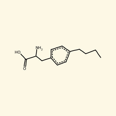 CCCCc1ccc(CC(N)C(=O)O)cc1